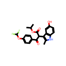 Cc1[nH]c2ccc(O)cc2c1C(C(=O)OC(C)C)C(=O)c1ccc(OC(F)F)cc1